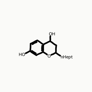 CCCCCCCC1CC(O)c2ccc(O)cc2O1